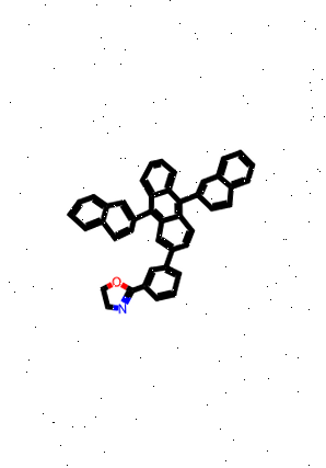 c1cc(C2=NCCO2)cc(-c2ccc3c(-c4ccc5ccccc5c4)c4ccccc4c(-c4ccc5ccccc5c4)c3c2)c1